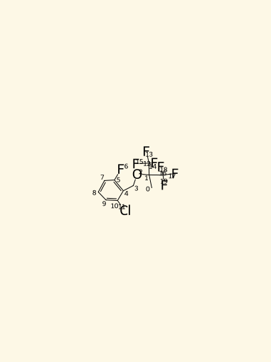 CC(OCc1c(F)cccc1Cl)(C(F)(F)F)C(F)(F)F